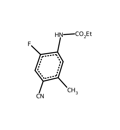 CCOC(=O)Nc1cc(C)c(C#N)cc1F